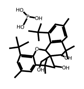 Cc1cc(C(C)(C)C)c(OC(c2c(C(C)(C)C)cc(C)cc2C(C)(C)C)C(CO)(CO)CO)c(C(C)(C)C)c1.OP(O)O